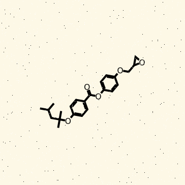 CC(C)CC(C)(C)Oc1ccc(C(=O)Oc2ccc(OCC3CO3)cc2)cc1